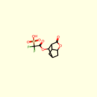 O=C1OC2CC3CC2C1C3OC(=O)C(F)(F)S(=O)(=O)O